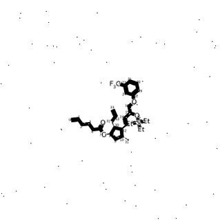 C=CCCCC(=O)O[C@H]1C[C@@H](C)[C@H](/C=C/C(COc2cccc(C(F)(F)F)c2)O[Si](CC)(CC)CC)[C@H]1CC=C